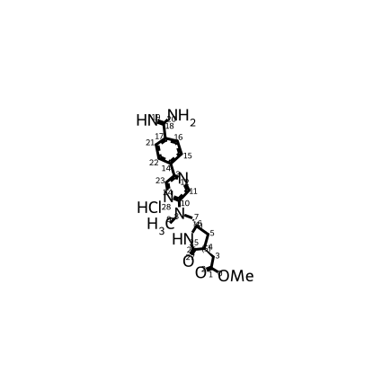 COC(=O)C[C@@H]1C[C@@H](CN(C)c2cnc(-c3ccc(C(=N)N)cc3)cn2)NC1=O.Cl